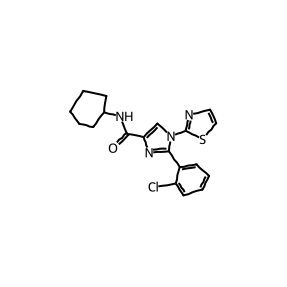 O=C(NC1CCCCC1)c1cn(-c2nccs2)c(-c2ccccc2Cl)n1